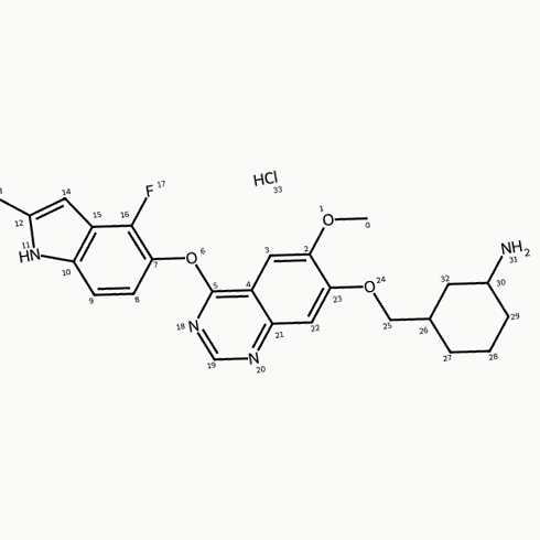 COc1cc2c(Oc3ccc4[nH]c(C)cc4c3F)ncnc2cc1OCC1CCCC(N)C1.Cl